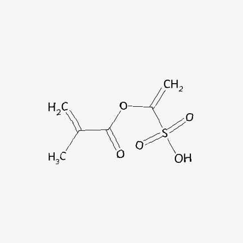 C=C(C)C(=O)OC(=C)S(=O)(=O)O